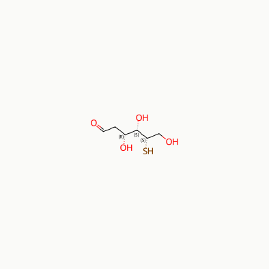 O=CC[C@@H](O)[C@H](O)[C@@H](S)CO